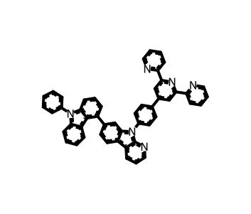 c1ccc(-n2c3ccccc3c3c(-c4ccc5c6cccnc6n(-c6ccc(-c7cc(-c8ccccn8)nc(-c8ccccn8)c7)cc6)c5c4)cccc32)cc1